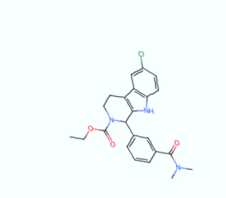 CCOC(=O)N1CCc2c([nH]c3ccc(Cl)cc23)C1c1cccc(C(=O)N(C)C)c1